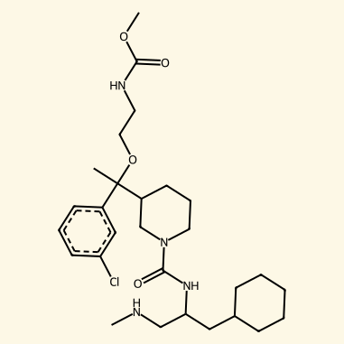 CNCC(CC1CCCCC1)NC(=O)N1CCCC(C(C)(OCCNC(=O)OC)c2cccc(Cl)c2)C1